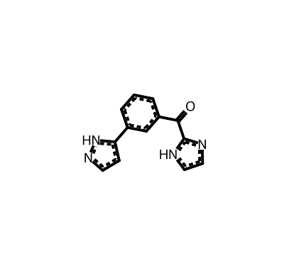 O=C(c1cccc(-c2ccn[nH]2)c1)c1ncc[nH]1